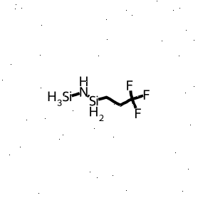 FC(F)(F)CC[SiH2]N[SiH3]